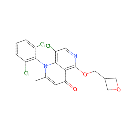 Cc1cc(=O)c2c(OCC3COC3)ncc(Cl)c2n1-c1c(Cl)cccc1Cl